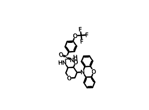 N=S(=O)(NC1COCC(N2c3ccccc3Oc3ccccc32)C1O)c1ccc(OC(F)(F)F)cc1